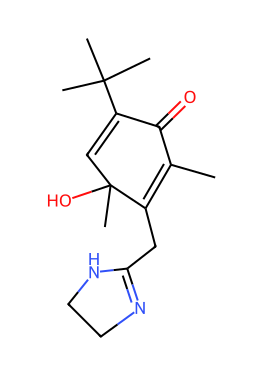 CC1=C(CC2=NCCN2)C(C)(O)C=C(C(C)(C)C)C1=O